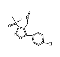 C=NCc1c(S(C)(=O)=O)noc1-c1ccc(Cl)cc1